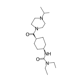 CCN(CC)C(=O)N[C@H]1CC[C@@H](C(=O)N2CCN(C(C)C)CC2)CC1